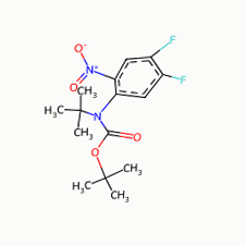 CC(C)(C)OC(=O)N(c1cc(F)c(F)cc1[N+](=O)[O-])C(C)(C)C